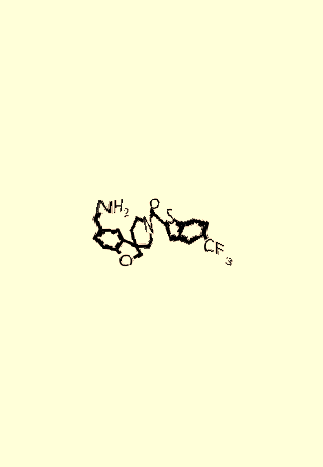 NCc1ccc2c(c1)C1(CCN(C(=O)c3cc4cc(C(F)(F)F)ccc4s3)CC1)CO2